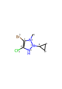 CN1C(Br)=C(Cl)NN1C1CC1